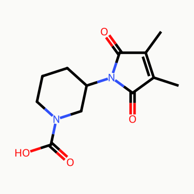 CC1=C(C)C(=O)N(C2CCCN(C(=O)O)C2)C1=O